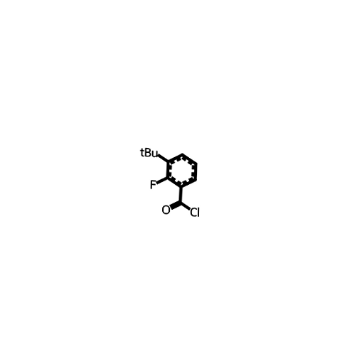 CC(C)(C)c1cccc(C(=O)Cl)c1F